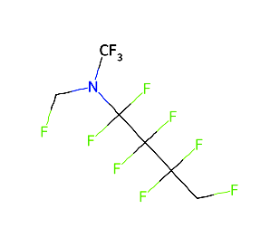 FCN(C(F)(F)F)C(F)(F)C(F)(F)C(F)(F)CF